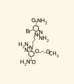 COCCCOc1cc(C(N)=O)cc2nc(N)n(CCCCn3c(N)nc4cc(C(N)=O)cc(Br)c43)c12